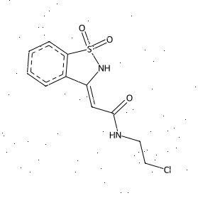 O=C(C=C1NS(=O)(=O)c2ccccc21)NCCCl